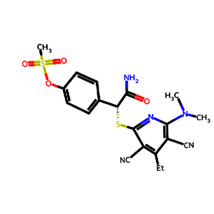 CCc1c(C#N)c(S[C@@H](C(N)=O)c2ccc(OS(C)(=O)=O)cc2)nc(N(C)C)c1C#N